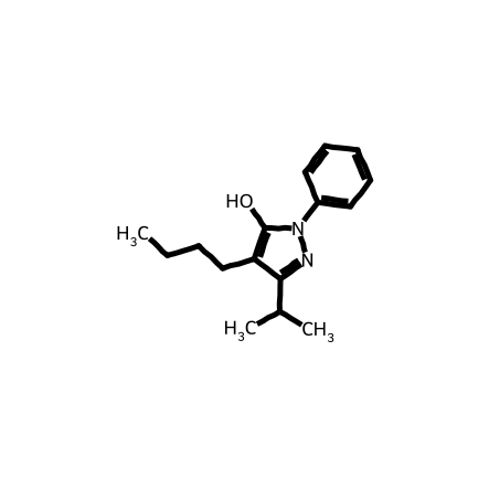 CCCCc1c(C(C)C)nn(-c2ccccc2)c1O